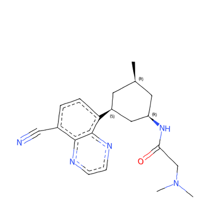 C[C@H]1C[C@@H](NC(=O)CN(C)C)C[C@@H](c2ccc(C#N)c3nccnc23)C1